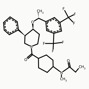 CCC(=O)N(C)C1CCC(C(=O)N2CC[C@H](O[C@H](C)c3cc(C(F)(F)F)cc(C(F)(F)F)c3)[C@H](c3ccccc3)C2)CC1